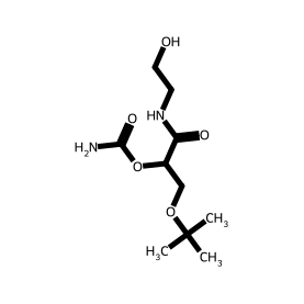 CC(C)(C)OCC(OC(N)=O)C(=O)NCCO